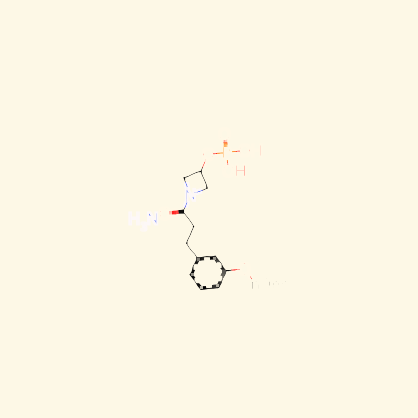 CCCCCCCCCCOc1cccc(CCC(=O)N2CC(OP(=O)(O)O)C2)c1.N